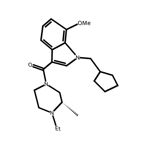 CCN1CCN(C(=O)c2cn(CC3CCCC3)c3c(OC)cccc23)C[C@@H]1C